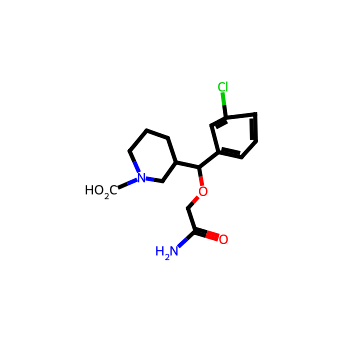 NC(=O)COC(c1cccc(Cl)c1)C1CCCN(C(=O)O)C1